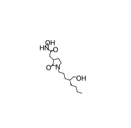 CCCC[C@H](CO)CCCN1CCC(CC(=O)NO)C1=O